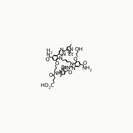 CCn1nc(C)cc1C(=O)Nc1nc2cc(C(N)=O)cc(OCCCO)c2n1C/C=C/Cn1c2nc(-c3cc(C)nn3CC)ncc2c2cc(C(N)=O)cc(OCCCNC(=O)CCCC(=O)O)c21